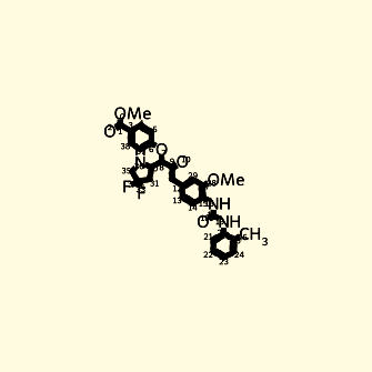 COC(=O)c1ccc(OC(C(=O)Cc2ccc(NC(=O)Nc3ccccc3C)c(OC)c2)C2CC(F)(F)CN2)cc1